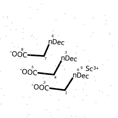 CCCCCCCCCCCC(=O)[O-].CCCCCCCCCCCC(=O)[O-].CCCCCCCCCCCC(=O)[O-].[Sc+3]